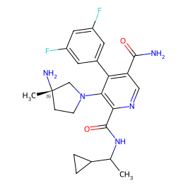 CC(NC(=O)c1ncc(C(N)=O)c(-c2cc(F)cc(F)c2)c1N1CC[C@](C)(N)C1)C1CC1